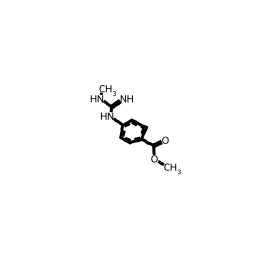 CNC(=N)Nc1ccc(C(=O)OC)cc1